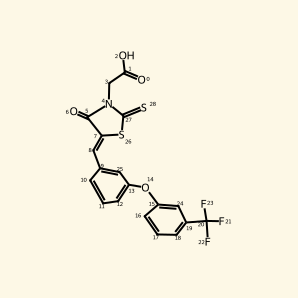 O=C(O)CN1C(=O)C(=Cc2cccc(Oc3cccc(C(F)(F)F)c3)c2)SC1=S